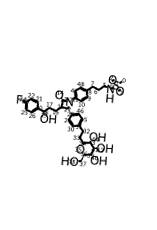 CS(=O)(=O)NCCCc1ccc(N2C(=O)C(CC[C@H](O)c3ccc(F)cc3)[C@H]2c2ccc(CCC3O[C@H](CO)[C@@H](O)[C@H](O)[C@H]3O)cc2)cc1